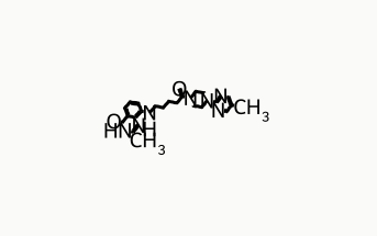 Cc1cnc(N2CCN(C(=O)CCCCNc3cccc4c(=O)[nH]c(C)nc34)CC2)nc1